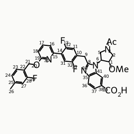 CO[C@@H]1CN(C(C)=O)C[C@@H]1n1c(Cc2cc(F)c(-c3cccc(OCc4ccc(C)cc4F)n3)cc2F)nc2ccc(C(=O)O)cc21